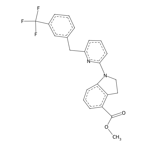 COC(=O)c1cccc2c1CCN2c1cccc(Cc2cccc(C(F)(F)F)c2)n1